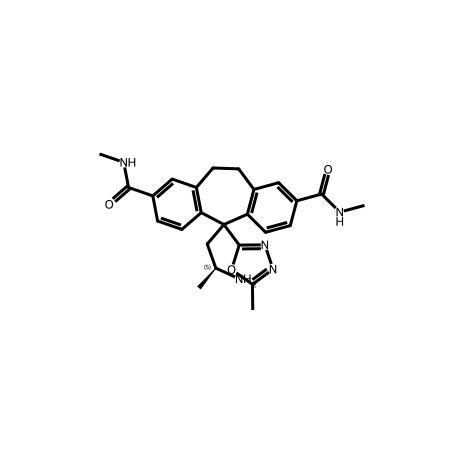 CNC(=O)c1ccc2c(c1)CCc1cc(C(=O)NC)ccc1C2(C[C@H](C)N)c1nnc(C)o1